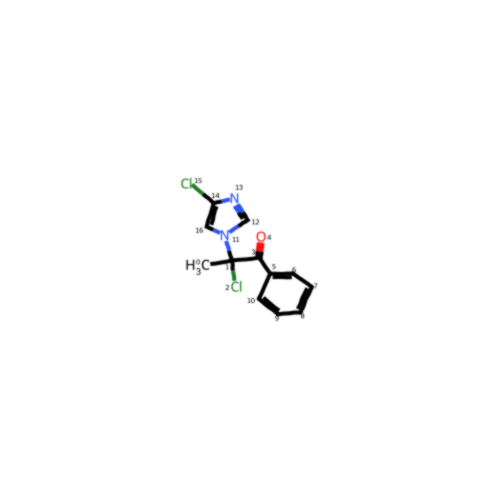 CC(Cl)(C(=O)c1ccccc1)n1cnc(Cl)c1